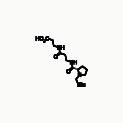 CC(C)(C)CN1CCC[C@H]1C(=O)NCCC(=O)NCCC(=O)O